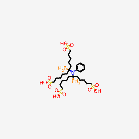 O=S(=O)(O)CCCCCC(P)(CCCCCS(=O)(=O)O)N(c1ccccc1)C(P)(CCCCCS(=O)(=O)O)CCCCCS(=O)(=O)O